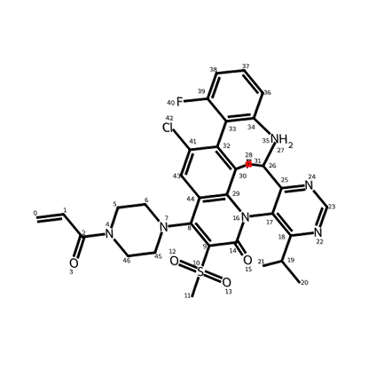 C=CC(=O)N1CCN(c2c(S(C)(=O)=O)c(=O)n(-c3c(C(C)C)ncnc3C(C)C)c3c(F)c(-c4c(N)cccc4F)c(Cl)cc23)CC1